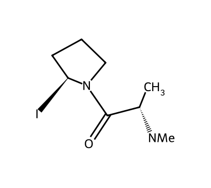 CN[C@@H](C)C(=O)N1CCC[C@@H]1I